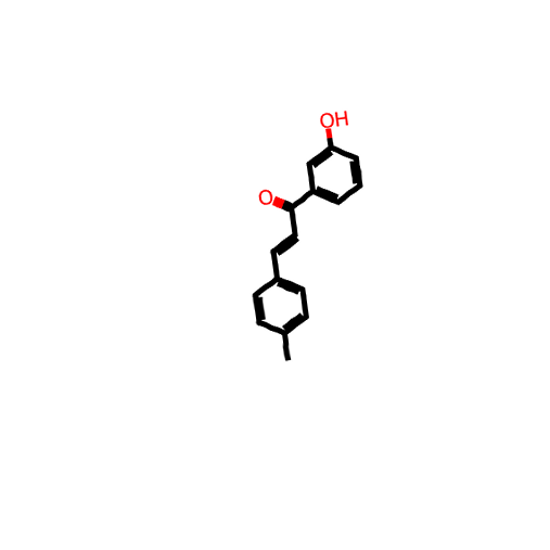 Cc1ccc(C=CC(=O)c2cccc(O)c2)cc1